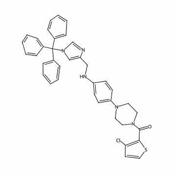 O=C(c1sccc1Cl)N1CCN(c2ccc(NCc3cn(C(c4ccccc4)(c4ccccc4)c4ccccc4)cn3)cc2)CC1